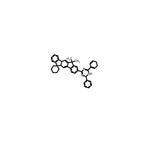 CC1(C)C2=CC3c4ccccc4C4(CCCCC4)C3C=C2c2ccc(C3=NC(c4ccccc4)NC(C4=CCCC=C4)=N3)cc21